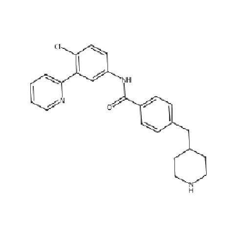 O=C(Nc1ccc(Cl)c(-c2ccccn2)c1)c1ccc(CC2CCNCC2)cc1